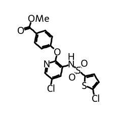 COC(=O)c1ccc(Oc2ncc(Cl)cc2NS(=O)(=O)c2ccc(Cl)s2)cc1